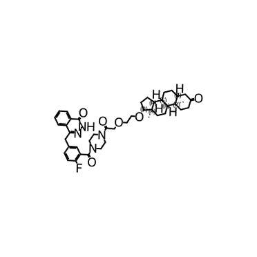 C[C@@]12CCC(=O)C[C@H]1CC[C@H]1[C@H]2CC[C@]2(C)[C@@H]1CC[C@H]2OCCOCC(=O)N1CCN(C(=O)c2cc(Cc3n[nH]c(=O)c4ccccc34)ccc2F)CC1